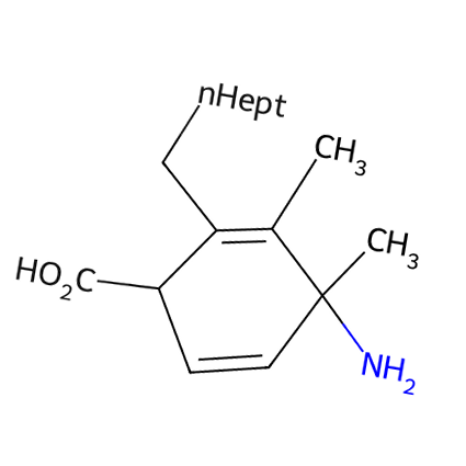 CCCCCCCCC1=C(C)C(C)(N)C=CC1C(=O)O